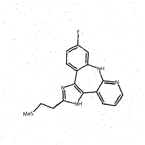 CSCCc1nc2c([nH]1)-c1cccnc1Nc1cc(F)ccc1-2